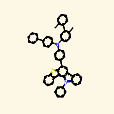 Cc1ccccc1-c1cc(N(c2ccc(-c3ccccc3)cc2)c2ccc(-c3cc4c5ccccc5n(-c5ccccc5)c4c4c3sc3ccccc34)cc2)ccc1C